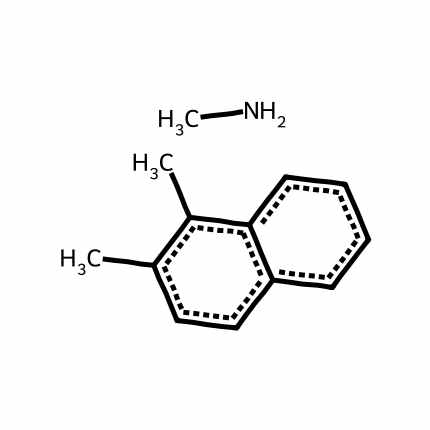 CN.Cc1ccc2ccccc2c1C